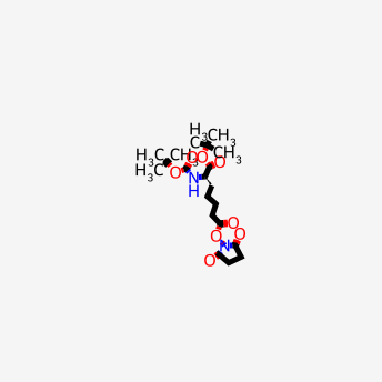 CC(C)(C)OC(=O)N[C@@H](CCCCC(=O)ON1C(=O)CCC1=O)C(=O)OC(C)(C)C